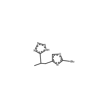 CC(Cc1coc(C(C)(C)C)n1)c1nnn[nH]1